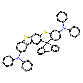 c1ccc(N(c2ccccc2)c2ccc3c(c2)Sc2cc4sc5ccc(N(c6ccccc6)c6ccccc6)cc5c4cc2C32c3ccccc3-c3ccccc32)cc1